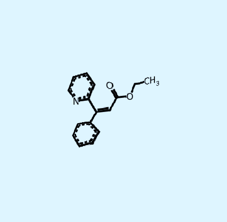 CCOC(=O)C=C(c1ccccc1)c1ccccn1